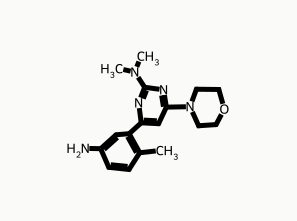 Cc1ccc(N)cc1-c1cc(N2CCOCC2)nc(N(C)C)n1